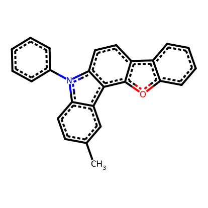 Cc1ccc2c(c1)c1c3oc4ccccc4c3ccc1n2-c1ccccc1